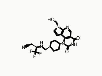 N#CC[C@@H](NC[C@H]1CC[C@H](n2c(=O)[nH]c(=O)c3cnc4c(ccn4CO)c32)CC1)C(F)(F)F